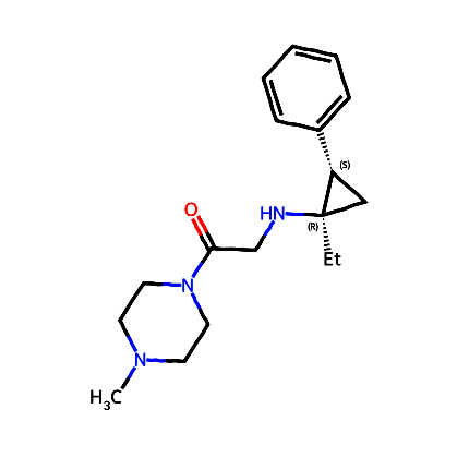 CC[C@@]1(NCC(=O)N2CCN(C)CC2)C[C@H]1c1ccccc1